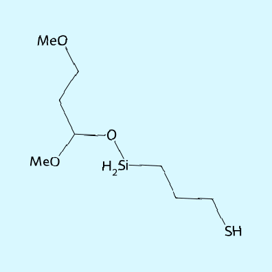 COCCC(OC)O[SiH2]CCCS